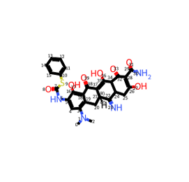 CN(C)c1cc(NC(=O)Sc2ccccc2)c(O)c2c1C[C@H]1C(=N)C3CC(O)=C(C(N)=O)C(=O)C3C(O)=C1C2=O